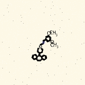 COc1cc(/C=C/CN2CCC(=C3c4ccccc4C=Cc4ccccc43)CC2)cc(OC)c1